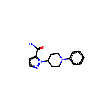 NC(=O)c1ccnn1C1CCN(c2ccccc2)CC1